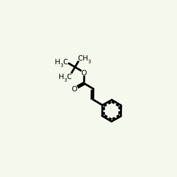 CC(C)(C)OC(=O)/C=C/c1ccccc1